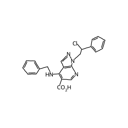 O=C(O)c1cnc2c(cnn2CC(Cl)c2ccccc2)c1NCc1ccccc1